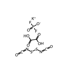 O=C(O)C(=O)O.O=C=NSSN=C=O.O=P([O-])(F)F.[K+]